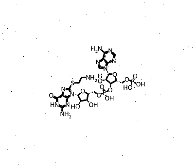 NCCSc1nc2c(=O)[nH]c(N)nc2n1[C@@H]1O[C@H](COP(=O)(O)O[C@H]2[C@@H](O)[C@H](n3cnc4c(N)ncnc43)O[C@@H]2COP(=O)(O)O)[C@@H](O)[C@H]1O